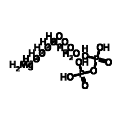 O.O.O.O.O.O.O.O.O=P(O)(O)OP(=O)(O)O.[MgH2]